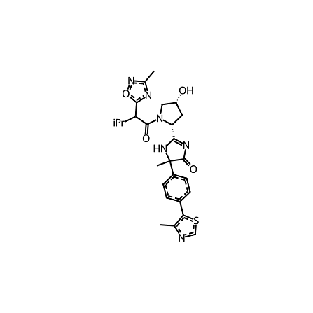 Cc1noc(C(C(=O)N2C[C@H](O)C[C@@H]2C2=NC(=O)C(C)(c3ccc(-c4scnc4C)cc3)N2)C(C)C)n1